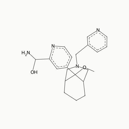 COC1(c2ccnc(C(N)O)c2)C2CCCC1CN(Cc1cccnc1)C2